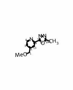 COCc1ccnc(-c2nnc(C)o2)c1